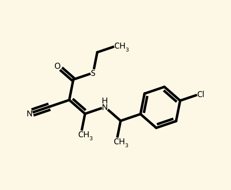 CCSC(=O)C(C#N)=C(C)NC(C)c1ccc(Cl)cc1